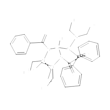 CCN(CC)N(C(=O)c1ccccc1)[Si](C)(N(C(=O)c1ccccc1)N(CC)CC)N(C(=O)c1ccccc1)N(CC)CC